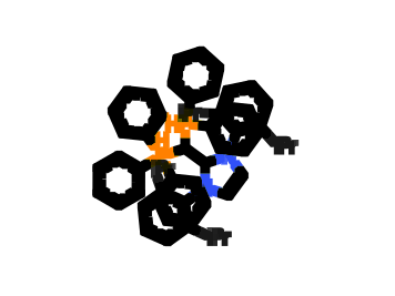 CC(C)c1cccc(C(C)C)c1N1C=CN(c2c(C(C)C)cccc2C(C)C)C1C1[PH](c2ccccc2)(c2ccccc2)c2ccccc2[PH]1(c1ccccc1)c1ccccc1